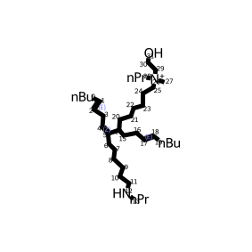 CCCC/C=C/C/C=C(/CCCCCCNCCC)C(CC/C=C/CCCC)CCCCCC[N+](C)(CCC)CCO